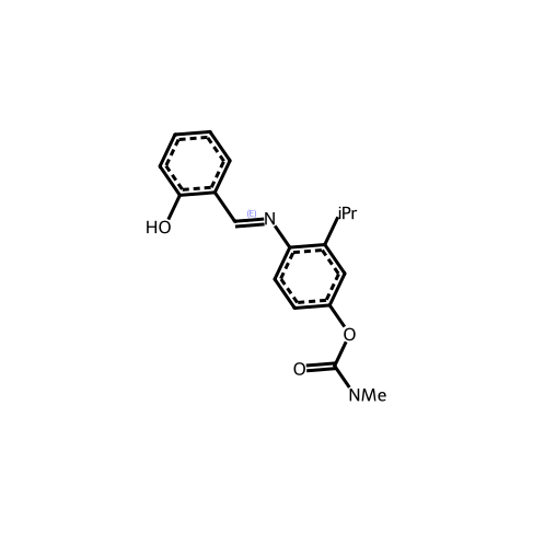 CNC(=O)Oc1ccc(/N=C/c2ccccc2O)c(C(C)C)c1